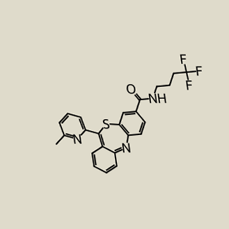 Cc1cccc(C2=c3ccccc3=Nc3ccc(C(=O)NCCCC(F)(F)F)cc3S2)n1